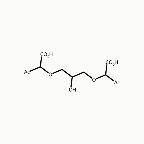 CC(=O)C(OCC(O)COC(C(C)=O)C(=O)O)C(=O)O